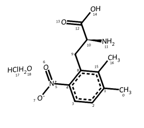 Cc1ccc([N+](=O)[O-])c(C[C@H](N)C(=O)O)c1C.Cl.O